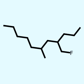 CCCCCC(C)CC(CF)CCC